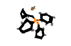 [Br-].c1ccc([P+](CC2CC2)(c2ccccc2)c2ccccc2)cc1